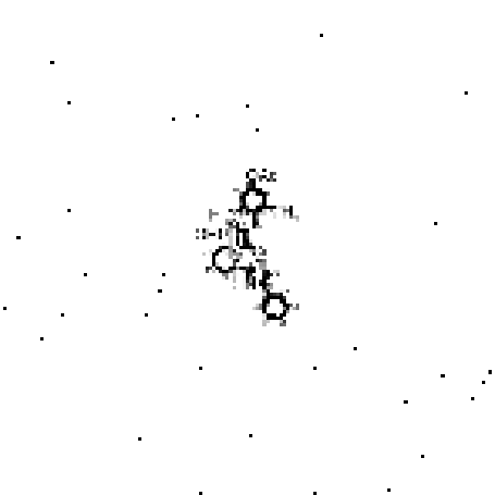 CC(=O)Oc1cc(C)c(C[C@H](NC=O)C(=O)N2CCCCC2c2ncc(-c3ccccc3)[nH]2)c(C)c1